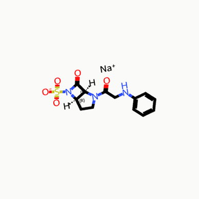 O=C(CNc1ccccc1)N1CC[C@@H]2[C@H]1C(=O)N2S(=O)(=O)[O-].[Na+]